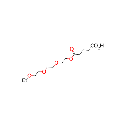 CCOCCOCCOCCOC(=O)CCCC(=O)O